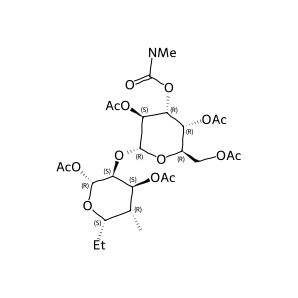 CC[C@@H]1O[C@H](OC(C)=O)[C@@H](O[C@H]2O[C@H](COC(C)=O)[C@@H](OC(C)=O)[C@@H](OC(=O)NC)[C@@H]2OC(C)=O)[C@@H](OC(C)=O)[C@@H]1C